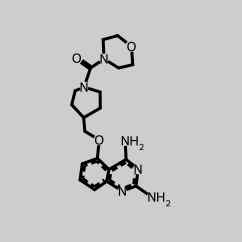 Nc1nc(N)c2c(OCC3CCN(C(=O)N4CCOCC4)CC3)cccc2n1